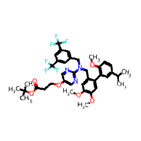 COc1cc(CN(Cc2cc(C(F)(F)F)cc(C(F)(F)F)c2)c2ncc(OCCC(=O)OC(C)(C)C)cn2)c(-c2cc(C(C)C)ccc2OC)cc1OC